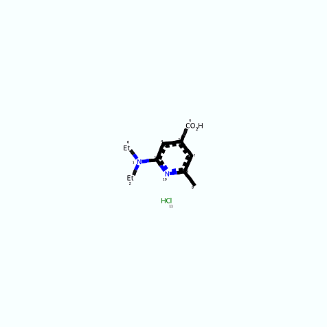 CCN(CC)c1cc(C(=O)O)cc(C)n1.Cl